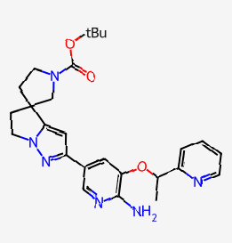 CC(Oc1cc(-c2cc3n(n2)CCC32CCN(C(=O)OC(C)(C)C)C2)cnc1N)c1ccccn1